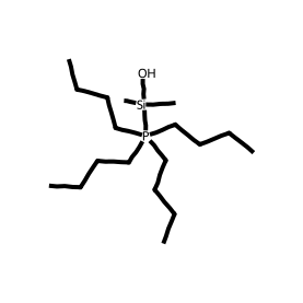 CCCCP(CCCC)(CCCC)(CCCC)[Si](C)(C)O